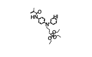 C=C(C)C(=O)Nc1ccc(N(CCC[Si](OCC)(OCC)OCC)c2ccccc2)cc1.I